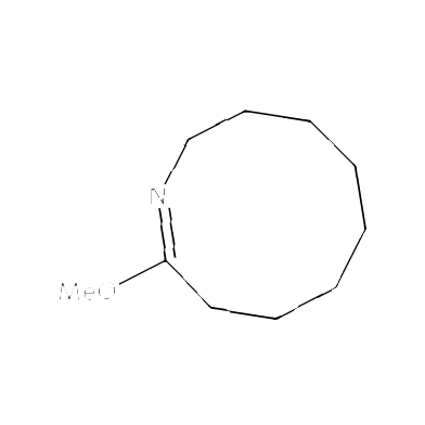 CO/C1=N/CCCCCCCC1